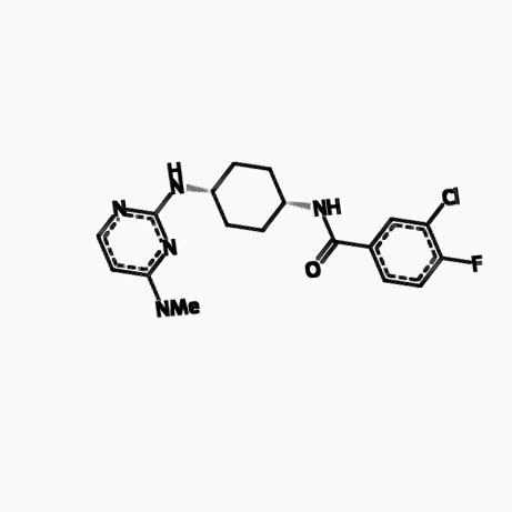 CNc1ccnc(N[C@H]2CC[C@@H](NC(=O)c3ccc(F)c(Cl)c3)CC2)n1